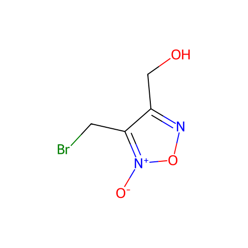 [O-][n+]1onc(CO)c1CBr